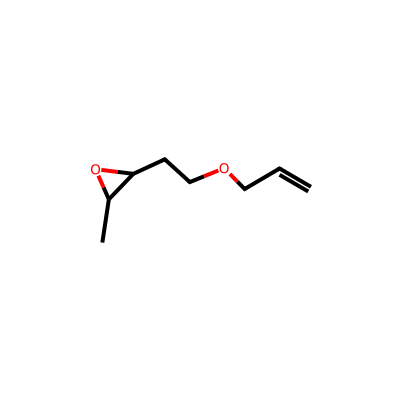 C=CCOCCC1OC1C